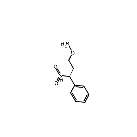 NOCC[C@H](c1ccccc1)[SH](=O)=O